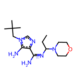 CCC(/N=C(/N)c1ncn(CC(C)(C)C)c1N)N1CCOCC1